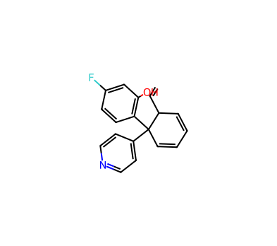 C=CC1C=CC=CC1(c1ccncc1)c1ccc(F)cc1O